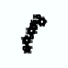 O[C@@H]1CCCC[C@H]1Nc1nc2ccc(Oc3ccnc(-c4ccco4)c3)cc2s1